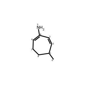 CC1C=CC(N)=CCC1